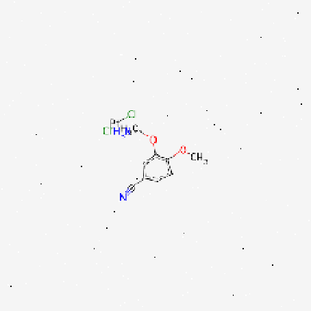 COc1ccc(C#N)cc1OC.N.[Cl][Pt][Cl]